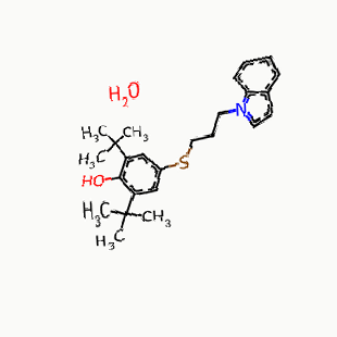 CC(C)(C)c1cc(SCCCn2ccc3ccccc32)cc(C(C)(C)C)c1O.O